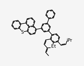 C/C=C(C)/C=C\c1c(-c2cc(-c3ccccc3)cc(-c3ccc4c5c(cccc35)-c3ccccc3S4)c2)ccc(/C=C\C(C)C)c1CC